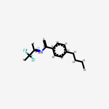 C=C(/N=C(\C)C(C)(F)F)c1ccc(CCCC)cc1